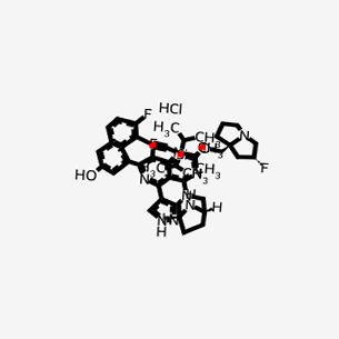 CC(C)[Si](C#Cc1c(F)ccc2cc(O)cc(-c3nc(-c4cn[nH]c4)c4c(N5C[C@H]6CC[C@@H](C5)N6)nc(OC[C@@]56CCCN5C[C@H](F)C6)nc4c3F)c12)(C(C)C)C(C)C.Cl